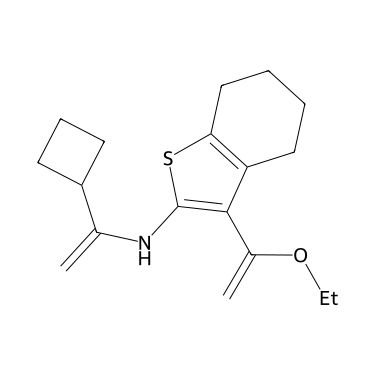 C=C(OCC)c1c(NC(=C)C2CCC2)sc2c1CCCC2